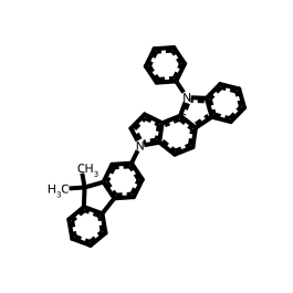 CC1(C)c2ccccc2-c2ccc(-n3ccc4c3ccc3c5ccccc5n(-c5ccccc5)c34)cc21